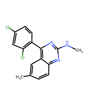 CNc1nc(-c2ccc(Cl)cc2Cl)c2cc(C)ccc2n1